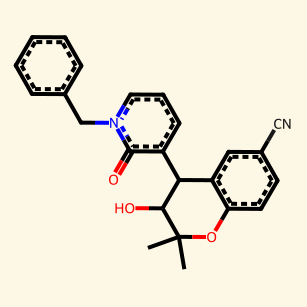 CC1(C)Oc2ccc(C#N)cc2C(c2cccn(Cc3ccccc3)c2=O)C1O